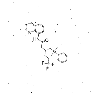 C[Si](C)(CC(CCC(F)(F)F)CC(=O)Nc1cccc2cccnc12)c1ccccc1